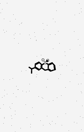 CC(C)c1ccc2c(c1)Cc1ccccc1S2(=O)=O